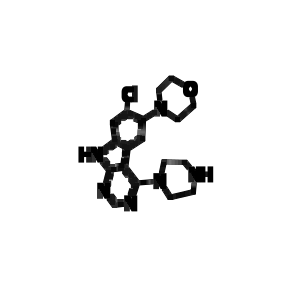 Clc1cc2[nH]c3ncnc(N4CCNCC4)c3c2cc1N1CCOCC1